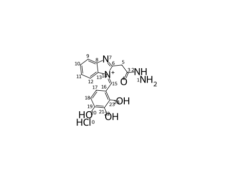 Cl.NNC(=O)CC1=Nc2ccccc2[N+]1=Cc1ccc(O)c(O)c1O